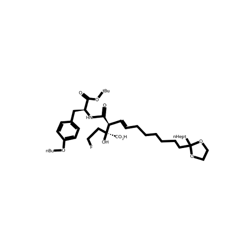 CCCCCCCC1(CCCCCC/C=C/[C@H](C(=O)N[C@@H](Cc2ccc(OCCCC)cc2)C(=O)OC(C)(C)C)[C@@](O)(CCF)C(=O)O)OCCO1